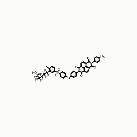 COc1ccc(N2C(=O)c3ccc4c5c(ccc(c35)C2=O)C(=O)C(c2ccc(Oc3ccc(S(=O)(=O)c5ccc(C)c(C(F)(F)C(F)(F)C(F)(F)C(F)(F)S(=O)(=O)O)c5)cc3)cc2)C4=O)cc1